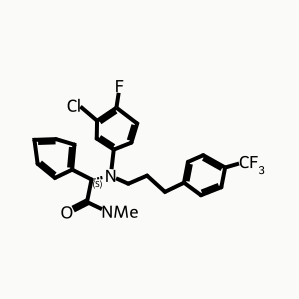 CNC(=O)[C@H](c1ccccc1)N(CCCc1ccc(C(F)(F)F)cc1)c1ccc(F)c(Cl)c1